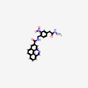 CNC(=O)Cc1ccc(CNC(=O)c2cc3ccc4cccc5cnc(c2)c3c45)c([N+](=O)[O-])c1